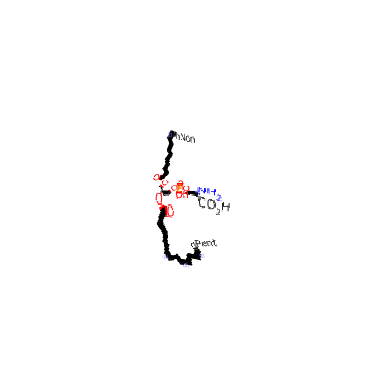 CCCCC/C=C\C/C=C\C/C=C\CCCCC(=O)O[C@H](COC(=O)CCCCCCC/C=C\CCCCCCCCC)COP(=O)(O)OC[C@H](N)C(=O)O